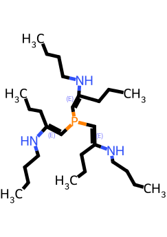 CCCCN/C(=C/P(/C=C(\CCC)NCCCC)/C=C(\CCC)NCCCC)CCC